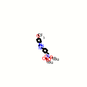 CC(C)(C)OC(=O)ON(Cc1ccc(-c2ncn(-c3ccc(OC(F)(F)F)cc3)n2)cc1)C(=O)OC(C)(C)C